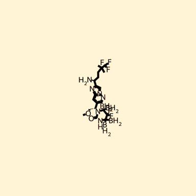 BC1(B)NC(=O)N([C@H](COC)c2cnn3cc([C@@H](N)CCC(C)(C)C(F)(F)F)nc3c2)C(B)(B)C1(F)F